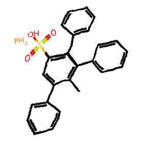 Cc1c(-c2ccccc2)cc(S(=O)(=O)O)c(-c2ccccc2)c1-c1ccccc1.P